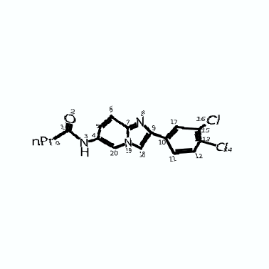 CCCC(=O)Nc1ccc2nc(-c3ccc(Cl)c(Cl)c3)cn2c1